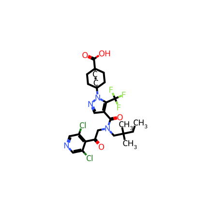 CCC(C)(C)CN(CC(=O)c1c(Cl)cncc1Cl)C(=O)c1cnn(C23CCC(C(=O)O)(CC2)CC3)c1C(F)(F)F